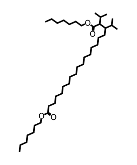 CCCCCCCOC(=O)CCCCCCCCCCCCCCCCC(C(C)C)C(C(=O)OCCCCCCC)C(C)C